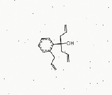 C=CCc1ccccc1C(O)(CC=C)CC=C